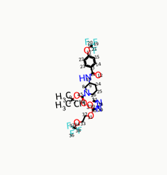 CC(C)(C)OC(=O)N1C[C@@H](NC(=O)c2ccc(OC(F)(F)F)cc2)CC[C@@H]1c1nnc(OCCOC(F)(F)F)o1